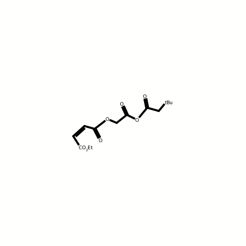 CCOC(=O)/C=C\C(=O)OCC(=O)OC(=O)CC(C)(C)C